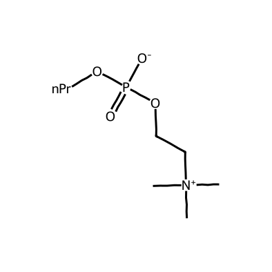 CCCOP(=O)([O-])OCC[N+](C)(C)C